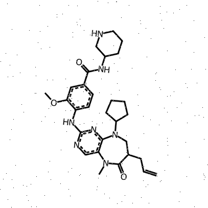 C=CCC1CN(C2CCCC2)c2nc(Nc3ccc(C(=O)NC4CCCNC4)cc3OC)ncc2N(C)C1=O